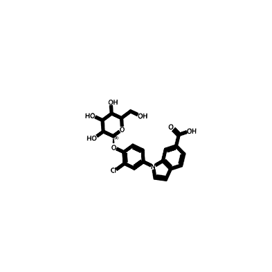 O=C(O)c1ccc2ccn(-c3ccc(O[C@H]4OC(CO)C(O)C(O)C4O)c(Cl)c3)c2c1